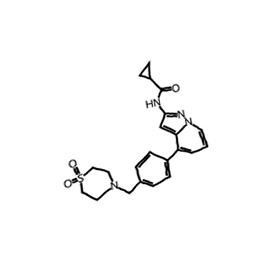 O=C(Nc1cc2c(-c3ccc(CN4CCS(=O)(=O)CC4)cc3)cccn2n1)C1CC1